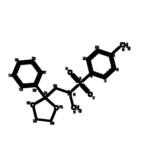 Cc1ccc(S(=O)(=O)N(C)CC2(c3ccccc3)OCCO2)cc1